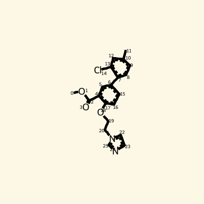 COC(=O)c1cc(-c2ccc(C)cc2Cl)ccc1OCCn1ccnc1